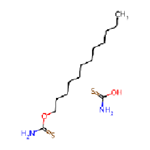 CCCCCCCCCCCCOC(N)=S.NC(O)=S